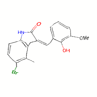 COc1cccc(C=C2C(=O)Nc3ccc(Br)c(C)c32)c1O